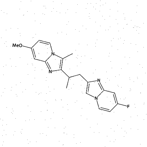 COc1ccn2c(C)c(C(C)Cc3cn4ccc(F)cc4n3)nc2c1